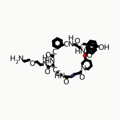 NCCOCCNC(=O)[C@@H]1CCNC(=O)/C=C/C(=O)N2CCC[C@](Cc3ccccc3)(C2)C(=O)N[C@@H](Cc2ccc(O)cc2)C(=O)NCc2ccccc2CC(=O)N1